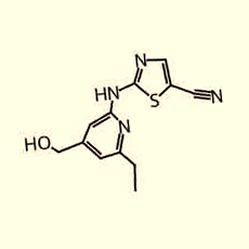 CCc1cc(CO)cc(Nc2ncc(C#N)s2)n1